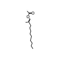 CCCCCCCCC/C(C)=C/OC(C)=O